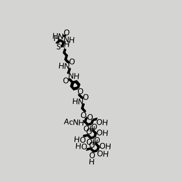 CC(=O)NC1C(OCCCNC(=O)COc2ccc(C(=O)NCCNC(=O)CCCC[C@@H]3SC[C@@H]4NC(=O)N[C@@H]43)cc2)OC(CO)C(OC2OC(CO)C(O)C(OC3OC(CO)C(O)C(O)C3O)C2O)C1O